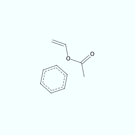 C=COC(C)=O.c1ccccc1